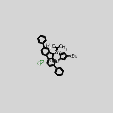 CCCCC1C=C(C(C)(C)C)C=[C]1[Zr+2](=[C](C)C)[CH]1c2cc(-c3ccccc3)ccc2-c2ccc(-c3ccccc3)cc21.[Cl-].[Cl-]